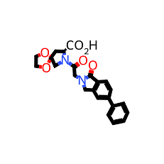 O=C(O)[C@@H]1CC2(CN1C(=O)CN1Cc3cc(-c4ccccc4)ccc3C1=O)OCCO2